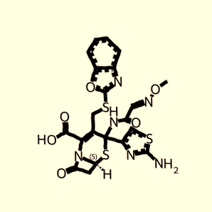 CON=CC(=O)NC1(c2csc(N)n2)S[C@H]2CC(=O)N2C(C(=O)O)=C1CSc1nc2ccccc2o1